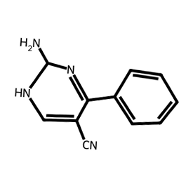 N#CC1=CNC(N)N=C1c1ccccc1